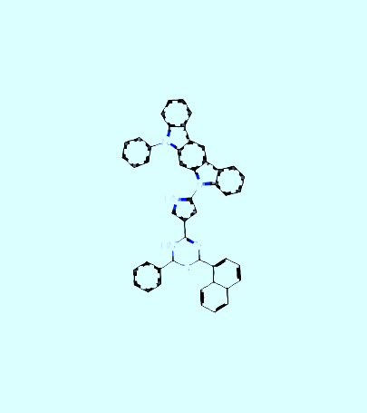 C1=CC2C=CC=C(C3N=C(c4c[nH]c(-n5c6ccccc6c6cc7c8ccccc8n(-c8ccccc8)c7cc65)c4)NC(c4ccccc4)N3)C2C=C1